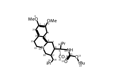 COC1=C(OC)CC2=C3CC([C@@](NC(=O)OC(C)(C)C)(C(=O)O)C(C)C)C(CC(C)C)CN3CCC2=C1